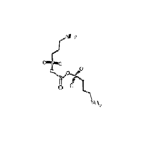 NCCCS(=O)(=O)OS(=O)OS(=O)(=O)CCCN